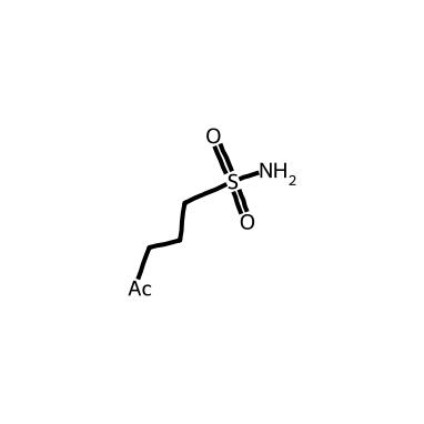 CC(=O)CCCS(N)(=O)=O